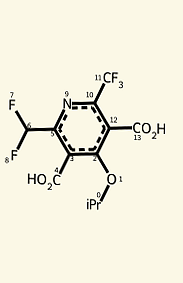 CC(C)Oc1c(C(=O)O)c(C(F)F)nc(C(F)(F)F)c1C(=O)O